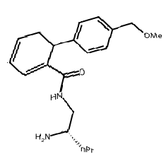 CCC[C@H](N)CNC(=O)C1=C[C]=CCC1c1ccc(COC)cc1